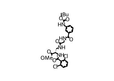 COC(=O)[C@H](CNC(=O)CNC(=O)c1cccc(NC(=O)OC(C)(C)C)c1)NC(=O)c1c(Cl)cccc1Cl